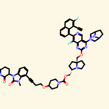 C#Cc1c(F)ccc2cccc(-c3ncc4c(N5CC6CCC(C5)N6)nc(OC[C@@]56CCCN5[C@H](COC(=O)N5CCC(OCCC#Cc7cccc8c7n(C)c(=O)n8C7CCC(=O)NC7=O)CC5)CC6)nc4c3F)c12